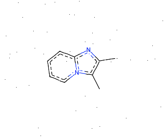 [CH2]c1nc2ccccn2c1C